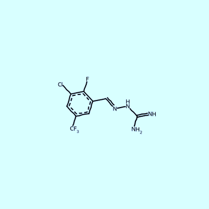 N=C(N)NN=Cc1cc(C(F)(F)F)cc(Cl)c1F